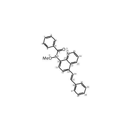 CON(C(=O)c1ccccc1)c1ccc(C=Cc2ccccc2)c2cccnc12